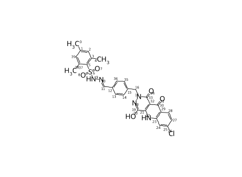 Cc1cc(C)c(S(=O)(=O)NN=Cc2ccc(Cn3nc(O)c4[nH]c5cc(Cl)ccc5c(=O)c4c3=O)cc2)c(C)c1